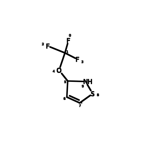 FC(F)(F)OC1C=[C]SN1